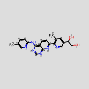 OCC(O)c1cnc(-c2ccc3c(Nc4ccc(C(F)(F)F)cn4)ncnc3n2)c(C(F)(F)F)c1